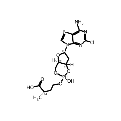 C[C@@H](CCO[PH]1(O)OC[C@H]2O[C@@H](n3cnc4c(N)nc(Cl)nc43)C[C@@H]2O1)C(=O)O